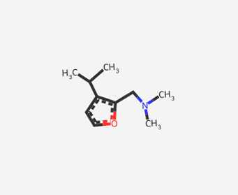 CC(C)c1ccoc1CN(C)C